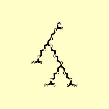 CC(C)C(=S)OCCOCC(COCCOC(=S)C(C)C)OCCOCCOC(COCCOC(=S)C(C)C)COCCOC(=S)C(C)C